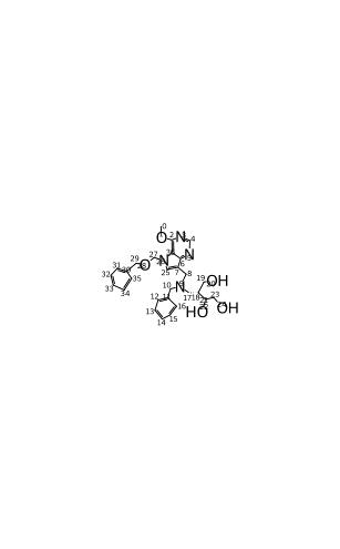 COc1ncnc2c(CN(Cc3ccccc3)C[C@H](CO)[C@H](O)CO)cn(COCc3ccccc3)c12